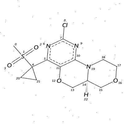 CS(=O)(=O)C1(c2nc(Cl)nc3c2OC[C@@H]2COCCN32)CC1